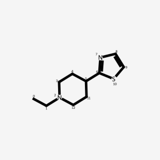 CCN1CCC(c2nccs2)CC1